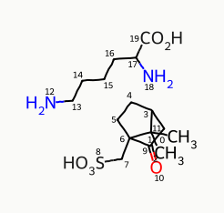 CC1(C)C2CCC1(CS(=O)(=O)O)C(=O)C2.NCCCCC(N)C(=O)O